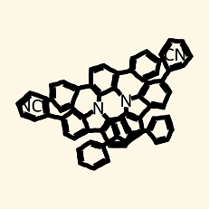 N#Cc1ccc(-c2ccc(-c3ccc(C#N)cc3)c(-n3c4cc(-c5ccccc5)ccc4c4ccc(-c5ccccc5)cc43)c2-n2c3cc(-c4ccccc4)ccc3c3ccc(-c4ccccc4)cc32)cc1